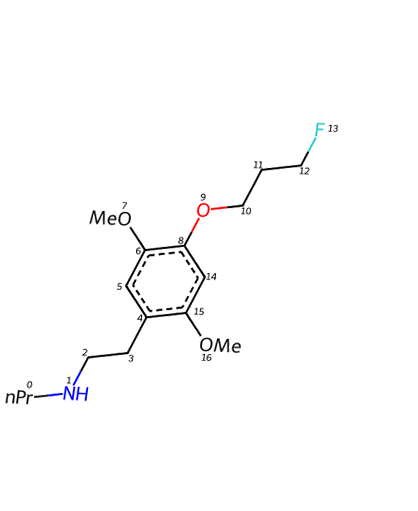 CCCNCCc1cc(OC)c(OCCCF)cc1OC